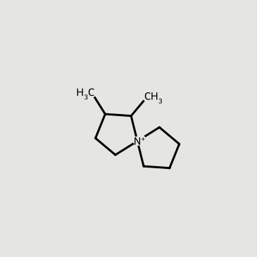 CC1CC[N+]2(CCCC2)C1C